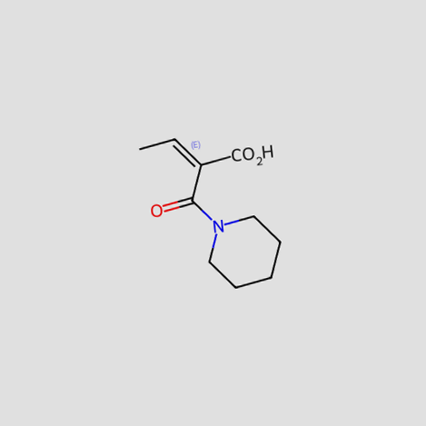 C/C=C(/C(=O)O)C(=O)N1CCCCC1